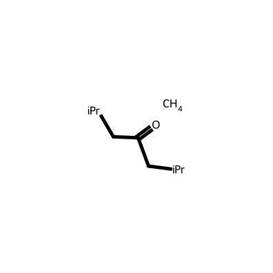 C.CC(C)CC(=O)CC(C)C